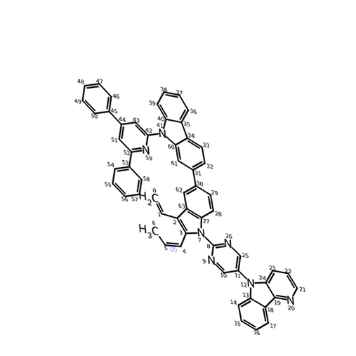 C=Cc1c(/C=C\C)n(-c2ncc(-n3c4ccccc4c4ncccc43)cn2)c2ccc(-c3ccc4c5ccccc5n(-c5cc(-c6ccccc6)cc(-c6ccccc6)n5)c4c3)cc12